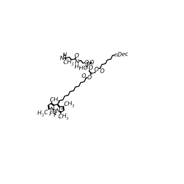 CCCCCCCCCCCCCCCC(=O)OC[C@H](COP(=O)(O)OCCNC(=O)CCC1(C)N=N1)OC(=O)CCCCCCCCCCC1=C2C(C)=CC(C)=[N+]2[B-](F)(F)n2c(C)cc(C)c21